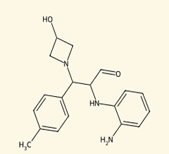 Cc1ccc(C(C(C=O)Nc2ccccc2N)N2CC(O)C2)cc1